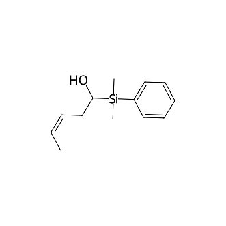 C/C=C\CC(O)[Si](C)(C)c1ccccc1